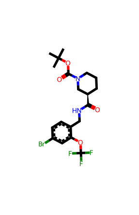 CC(C)(C)OC(=O)N1CCC[C@@H](C(=O)NCc2ccc(Br)cc2OC(F)(F)F)C1